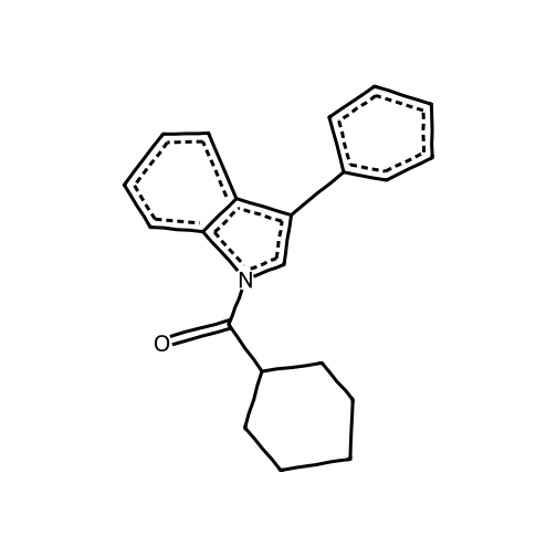 O=C(C1CCCCC1)n1cc(-c2ccccc2)c2ccccc21